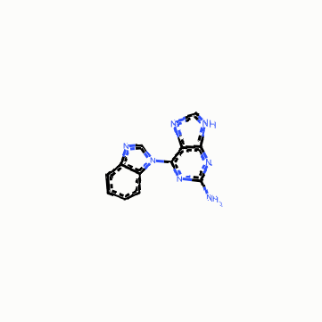 Nc1nc(-n2cnc3ccccc32)c2nc[nH]c2n1